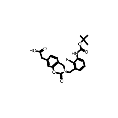 CC(C)(C)OC(=O)Nc1cccc(CN2Cc3ccc(CC(=O)O)cc3OC2=O)c1F